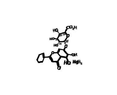 O=C(O)[C@H]1O[C@H](Oc2cc3oc(-c4ccccc4)cc(=O)c3c(O)c2O)[C@H](O)[C@@H](O)[C@@H]1O.[MgH2]